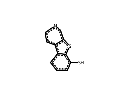 Sc1cccc2c1sc1cnccc12